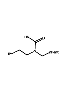 CCCCCCN(CCC(C)C)C([NH])=O